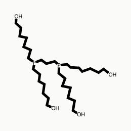 OCCCCCCCP(CCCCCCCO)CCCP(CCCCCCCO)CCCCCCCO